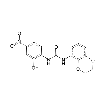 O=C(Nc1ccc([N+](=O)[O-])cc1O)Nc1cccc2c1OCCO2